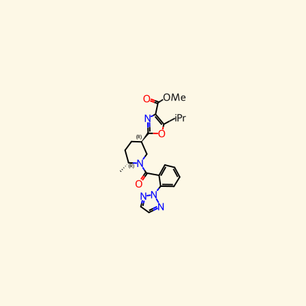 COC(=O)c1nc([C@@H]2CC[C@@H](C)N(C(=O)c3ccccc3-n3nccn3)C2)oc1C(C)C